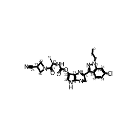 CCCn1nc(-c2cnc3[nH]cc(OC(=O)N[C@H](C)C(=O)N4CC(C#N)C4)c3n2)c2ccc(Cl)cc21